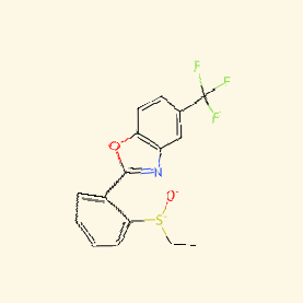 CC[S+]([O-])c1ccccc1-c1nc2cc(C(F)(F)F)ccc2o1